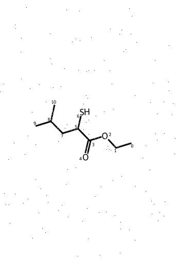 CCOC(=O)C(S)CC(C)C